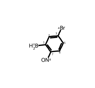 Bc1cc(Br)ccc1N=O